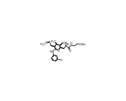 C=C(/C=c1/nc(Nc2cccc(Cl)c2)/c(=C/C=N\C)c(=C)/c1=C/C)C(=O)NCCOC